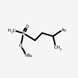 CCCCOP(C)(=O)CCC(C)C(C)=O